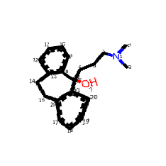 CN(C)CCCC1(O)c2ccccc2CCc2ccccc21